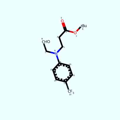 CC(C)(C)OC(=O)CCN(CC=O)c1ccc(C(F)(F)F)cc1